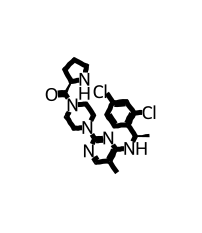 Cc1cnc(N2CCN(C(=O)[C@H]3CCCN3)CC2)nc1N[C@H](C)c1ccc(Cl)cc1Cl